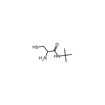 CC(C)(C)NC(=O)C(N)CS